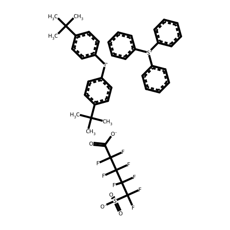 CC(C)(C)c1ccc([I+]c2ccc(C(C)(C)C)cc2)cc1.O=C([O-])C(F)(F)C(F)(F)C(F)(F)C(F)(F)S(=O)(=O)[O-].c1ccc([S+](c2ccccc2)c2ccccc2)cc1